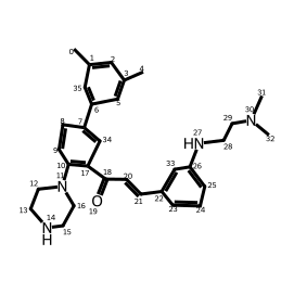 Cc1cc(C)cc(-c2ccc(N3CCNCC3)c(C(=O)/C=C/c3cccc(NCCN(C)C)c3)c2)c1